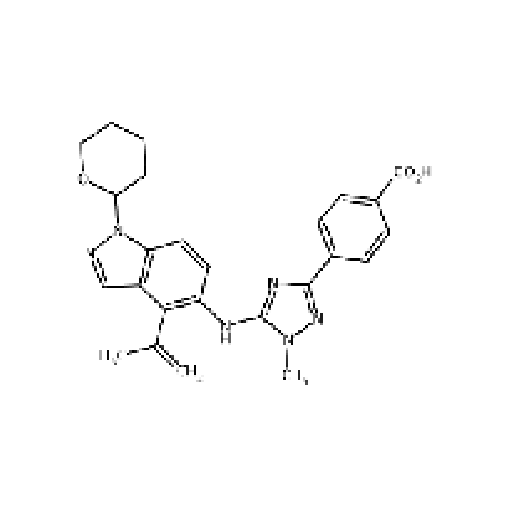 C=C(C)c1c(Nc2nc(-c3ccc(C(=O)O)cc3)nn2C)ccc2c1cnn2C1CCCCO1